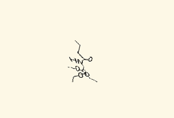 CCCC(=O)NC[Si](OCC)(OCC)OCC